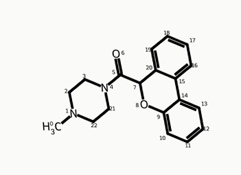 CN1CCN(C(=O)C2Oc3ccccc3-c3ccccc32)CC1